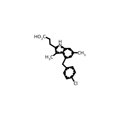 Cc1cc(Cc2ccc(Cl)cc2)c2c(C)c(CCC(=O)O)[nH]c2c1